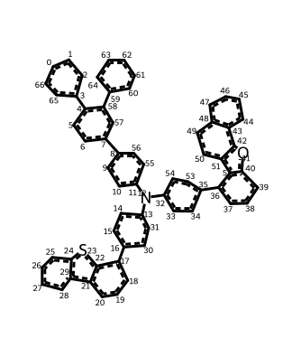 c1ccc(-c2ccc(-c3ccc(N(c4ccc(-c5cccc6c5sc5ccccc56)cc4)c4ccc(-c5cccc6oc7c8ccccc8ccc7c56)cc4)cc3)cc2-c2ccccc2)cc1